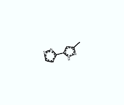 Cc1cc(-c2ccsn2)[nH]n1